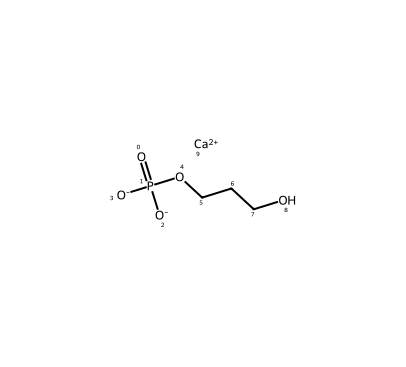 O=P([O-])([O-])OCCCO.[Ca+2]